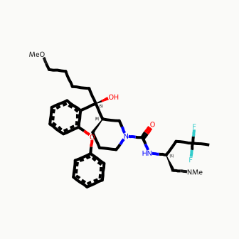 CNC[C@H](CC(C)(F)F)NC(=O)N1CCC[C@@H]([C@@](O)(CCCCOC)c2ccccc2Oc2ccccc2)C1